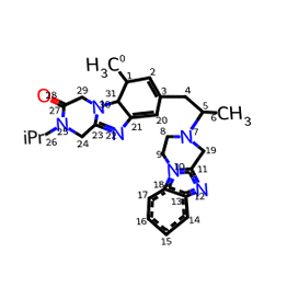 CC1C=C(CC(C)N2CCn3c(nc4ccccc43)C2)C=C2N=C3CN(C(C)C)C(=O)CN3C21